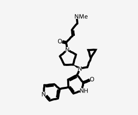 CNCC=CC(=O)N1CC[C@H](N(CC2CC2)c2cc(-c3ccncc3)c[nH]c2=O)C1